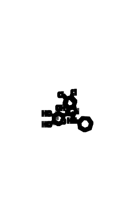 O[C@@H]1[C@H](O)[C@H](n2c(NC3CCCCCC3)nc3cc(Cl)c(Cl)cc32)OC[C@H]1O